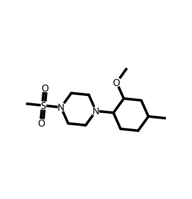 COC1CC(C)CCC1N1CCN(S(C)(=O)=O)CC1